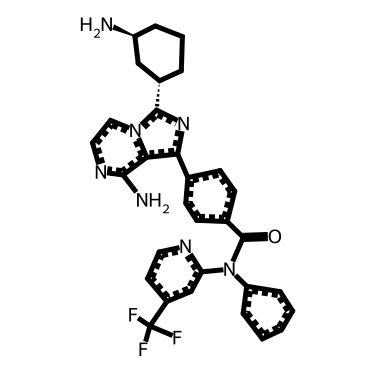 Nc1nccn2c([C@H]3CCC[C@H](N)C3)nc(-c3ccc(C(=O)N(c4ccccc4)c4cc(C(F)(F)F)ccn4)cc3)c12